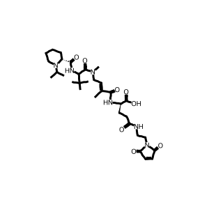 C/C(=C\CN(C)C(=O)C(NC(=O)[C@H]1CCCCN1C(C)C)C(C)(C)C)C(=O)N[C@H](CCC(=O)NCCN1C(=O)C=CC1=O)C(=O)O